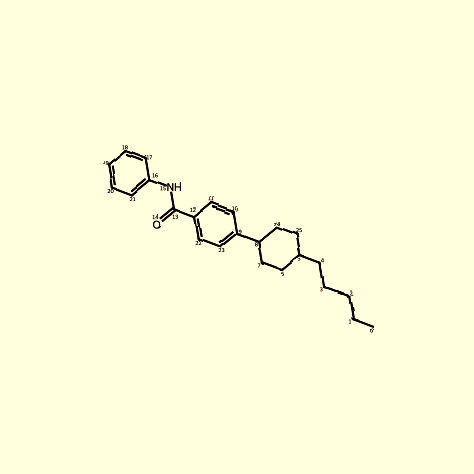 CCCCCC1CCC(c2ccc(C(=O)Nc3[c]cccc3)cc2)CC1